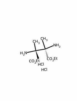 CCOC(=O)[C@](C)(N)[C@@](C)(N)C(=O)OCC.Cl.Cl